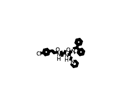 CC(N[C@@H](CCN1CCCCC1)C(=O)N(C)CC(c1ccccc1)c1ccccc1)C(C)(C)NC(=O)/C=C/c1ccc(Cl)cc1